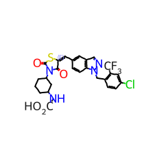 O=C(O)NC1CCCC(N2C(=O)S/C(=C/c3ccc4c(cnn4Cc4ccc(Cl)cc4C(F)(F)F)c3)C2=O)C1